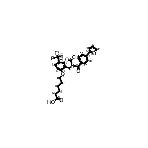 CC(C)N(Cc1cc(C(F)(F)F)ccc1OCCCCCC(=O)O)C(=O)c1ccc(-c2ccco2)cc1